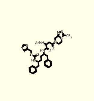 CC(=O)NC(CC(=O)N1CCn2c(nnc2C(F)(F)F)C1)C(=O)NC(CCC(Cc1ccccc1)NC(=O)OCc1cncs1)Cc1ccccc1